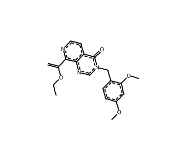 C=C(OCC)c1nccc2c(=O)n(Cc3ccc(OC)cc3OC)cnc12